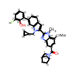 COc1cc(C(=O)N2CC3CCC2C3)cc2nc(-c3cc4ccc(-c5cccc(F)c5O)cc4n3CC3CC3)n(C)c12